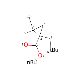 CCCCOC(=O)C1(CC(C)(C)C)CC1(C)C